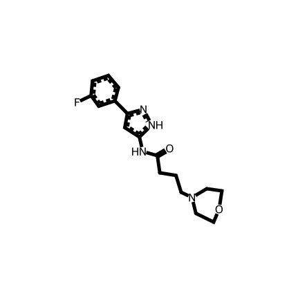 O=C(CCCN1CCOCC1)Nc1cc(-c2cccc(F)c2)n[nH]1